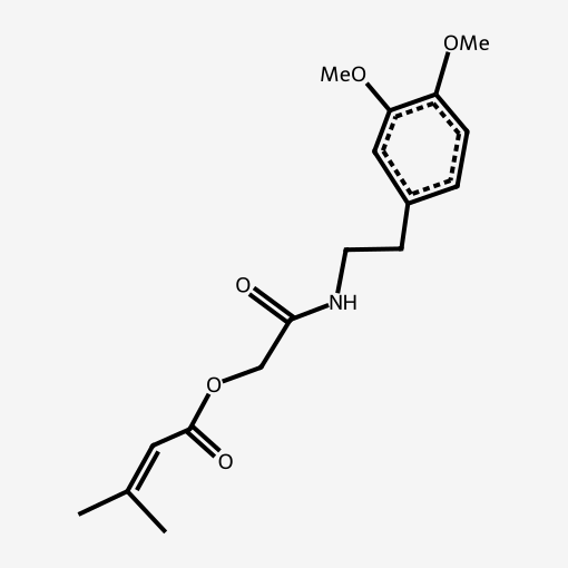 COc1ccc(CCNC(=O)COC(=O)C=C(C)C)cc1OC